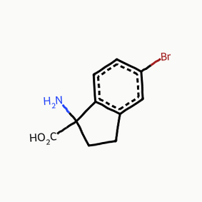 NC1(C(=O)O)CCc2cc(Br)ccc21